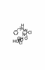 CC(C)(Cc1ccccc1)Nc1cnc(C=O)c(Cl)n1.O=P(O)(O)Cl